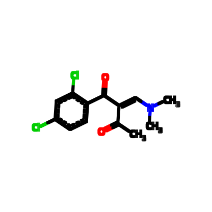 CC(=O)C(=CN(C)C)C(=O)c1ccc(Cl)cc1Cl